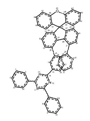 c1ccc(-c2nc(-c3ccccc3)nc(-c3cccc(-c4cccc5c4-c4c(-c6ccccn6)cccc4C54c5ccccc5Oc5ccccc54)c3)n2)cc1